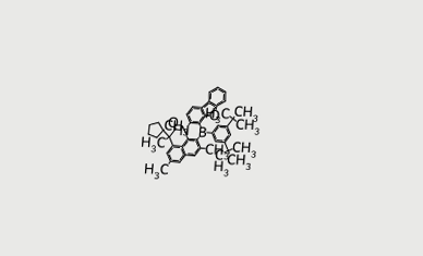 Cc1cc2c3c4c(c(C)cc3c1)B(c1cc(C(C)(C)C)cc(C(C)(C)C)c1)c1c(ccc3c1oc1ccccc13)N4C(=O)C2(C)C1(C)CCCC1